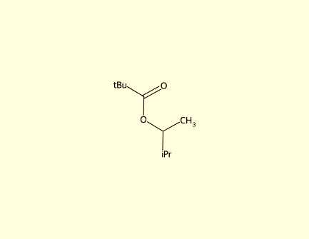 CC(C)C(C)OC(=O)C(C)(C)C